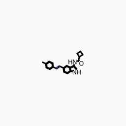 Cc1ccc(/C=C/c2ccc3[nH]cc(NC(=O)C4CCC4)c3c2)cc1